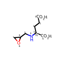 O=C(O)CC[C@H](NCC1CO1)C(=O)O